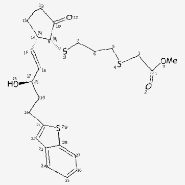 COC(=O)CSCCCS[C@H]1C(=O)CC[C@H]1C=C[C@H](O)CCc1cc2ccccc2s1